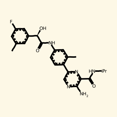 Cc1cc(F)cc([C@@H](O)C(=O)Nc2ccc(-c3cnc(N)c(C(=O)NC(C)C)n3)c(C)c2)c1